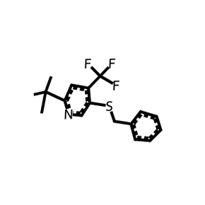 CC(C)(C)c1cc(C(F)(F)F)c(SCc2ccccc2)cn1